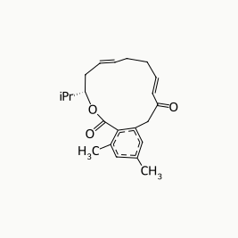 Cc1cc(C)c2c(c1)CC(=O)/C=C/CC/C=C/C[C@@H](C(C)C)OC2=O